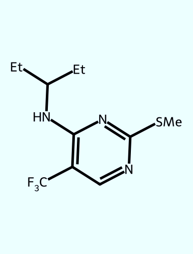 CCC(CC)Nc1nc(SC)ncc1C(F)(F)F